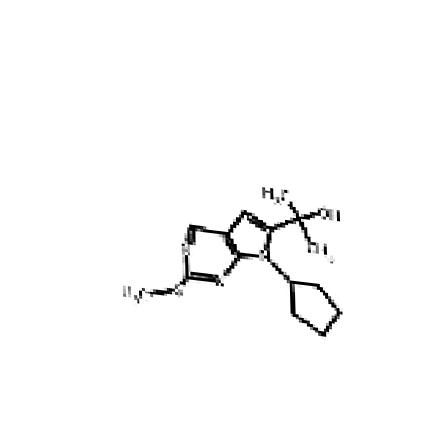 CSc1ncc2cc(C(C)(C)O)n(C3CCCC3)c2n1